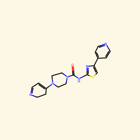 O=C(Nc1nc(-c2ccncc2)cs1)N1CCN(C2=CC=NCC2)CC1